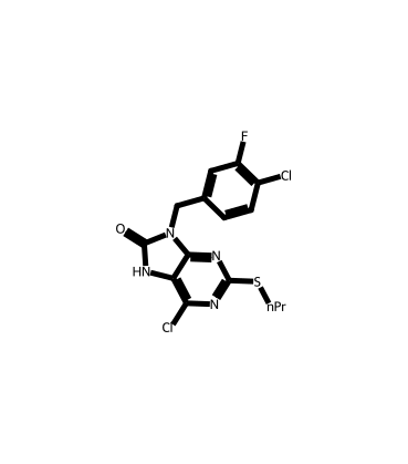 CCCSc1nc(Cl)c2[nH]c(=O)n(Cc3ccc(Cl)c(F)c3)c2n1